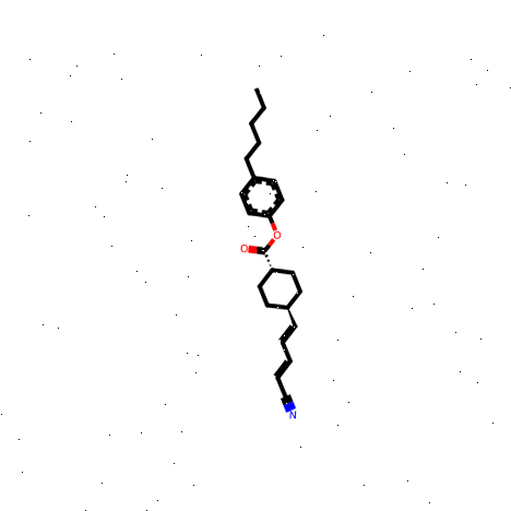 CCCCCc1ccc(OC(=O)[C@H]2CC[C@H](C=CC=CC#N)CC2)cc1